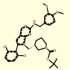 COc1ccc(CNc2ncc3cc(-c4c(Cl)cccc4Cl)n(C[C@@H]4CCCN(C(=O)OC(C)(C)C)C4)c3n2)cc1OC